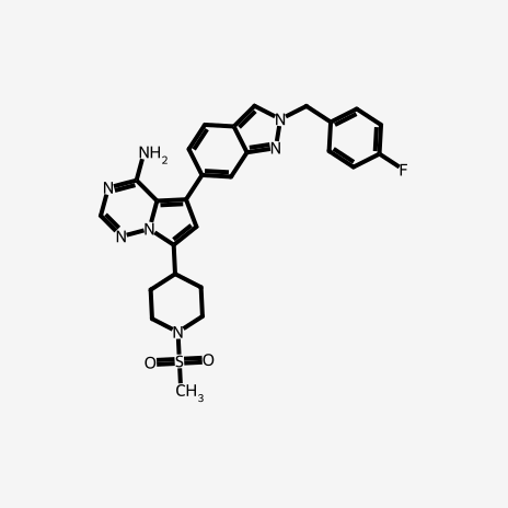 CS(=O)(=O)N1CCC(c2cc(-c3ccc4cn(Cc5ccc(F)cc5)nc4c3)c3c(N)ncnn23)CC1